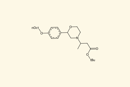 CCCCCCCCOc1ccc(C2CN(C(C)CC(=O)OC(C)(C)C)CCO2)cc1